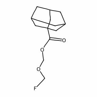 O=C(OCOCF)C12CC3CC(CC(C3)C1)C2